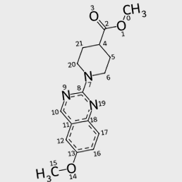 COC(=O)C1CCN(c2ncc3cc(OC)ccc3n2)CC1